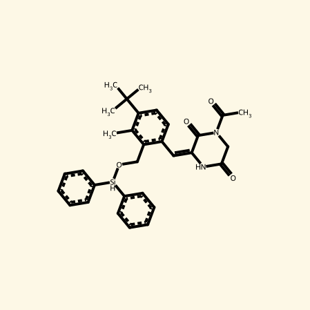 CC(=O)N1CC(=O)NC(=Cc2ccc(C(C)(C)C)c(C)c2CO[SiH](c2ccccc2)c2ccccc2)C1=O